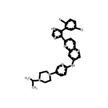 CC(C)N1CCN(c2ccc(Nc3cnc4ccc(-c5nc[nH]c5-c5cc(Cl)ccc5F)nc4c3)nc2)CC1